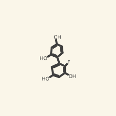 Oc1ccc(-c2cc(O)cc(O)c2F)c(O)c1